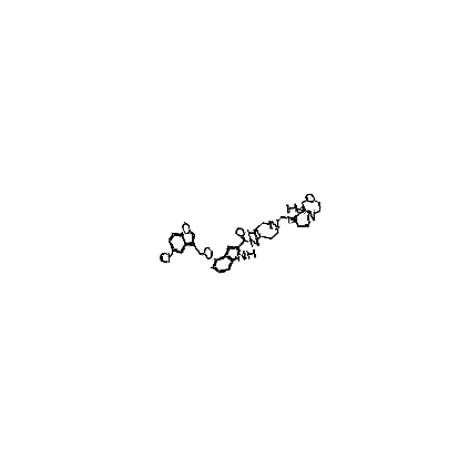 O=C(NC1CCN(C[C@@H]2CCN3CCOC[C@H]23)CC1)c1cc2c(OCc3coc4ccc(Cl)cc34)cccc2[nH]1